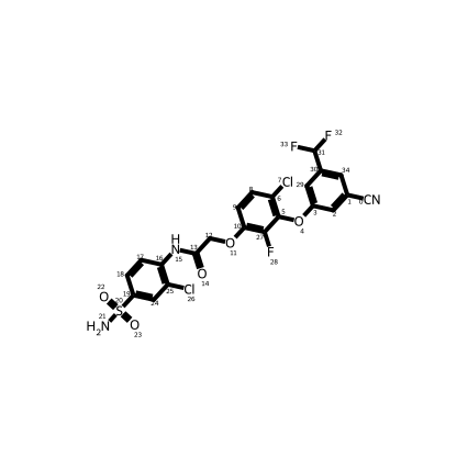 N#Cc1cc(Oc2c(Cl)ccc(OCC(=O)Nc3ccc(S(N)(=O)=O)cc3Cl)c2F)cc(C(F)F)c1